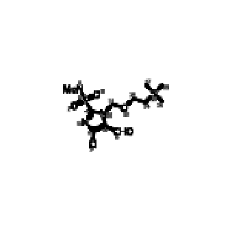 CNS(=O)(=O)c1nc(Cl)c(C=O)n1COCC[Si](C)(C)C